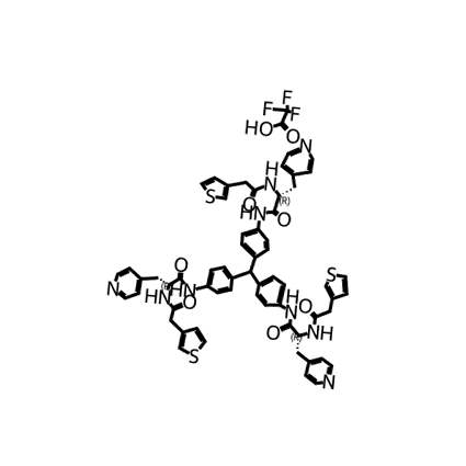 O=C(Cc1ccsc1)N[C@H](Cc1ccncc1)C(=O)Nc1ccc(C(c2ccc(NC(=O)[C@@H](Cc3ccncc3)NC(=O)Cc3ccsc3)cc2)c2ccc(NC(=O)[C@@H](Cc3ccncc3)NC(=O)Cc3ccsc3)cc2)cc1.O=C(O)C(F)(F)F